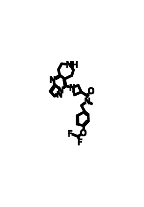 CN(Cc1ccc(OC(F)F)cc1)C(=O)C1CN(c2c3c(nc4ccnn24)CCNCC3)C1